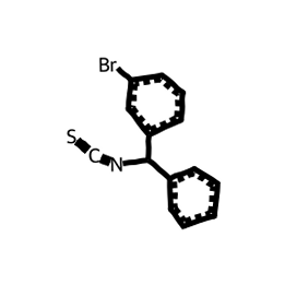 S=C=NC(c1ccccc1)c1cccc(Br)c1